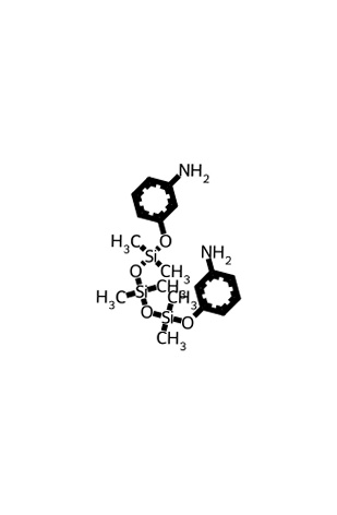 C[Si](C)(Oc1cccc(N)c1)O[Si](C)(C)O[Si](C)(C)Oc1cccc(N)c1